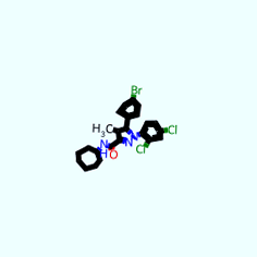 CC1C(C(=O)NC2CCCCCC2)=NN(c2ccc(Cl)cc2Cl)C1c1ccc(Br)cc1